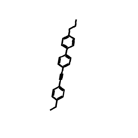 CCCc1ccc(-c2ccc(C#Cc3ccc(CC)cc3)cc2)cc1